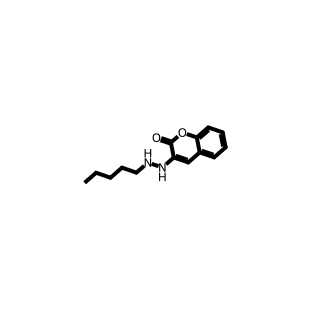 CCCCCNNc1cc2ccccc2oc1=O